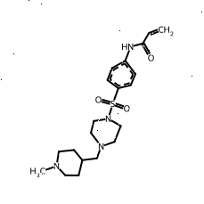 C=CC(=O)Nc1ccc(S(=O)(=O)N2CCN(CC3CCN(C)CC3)CC2)cc1